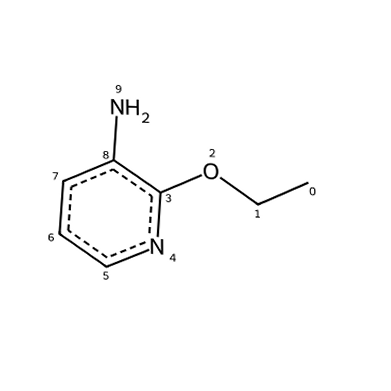 CCOc1ncccc1N